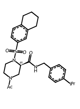 CC(=O)N1CCN(S(=O)(=O)c2ccc3c(c2)CCCC3)[C@@H](C(=O)NCc2ccc(C(C)C)cc2)C1